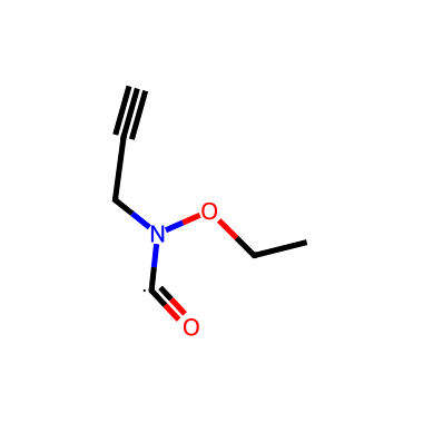 C#CCN([C]=O)OCC